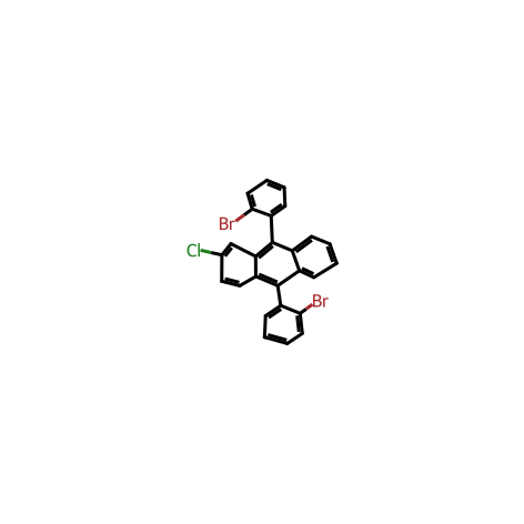 Clc1ccc2c(-c3ccccc3Br)c3ccccc3c(-c3ccccc3Br)c2c1